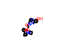 O=C(CCOC(=O)N(c1ccccc1-c1ccccc1)N1CC[CH]CC1)N(CNCc1ccc(O)cc1)Cc1ccccc1